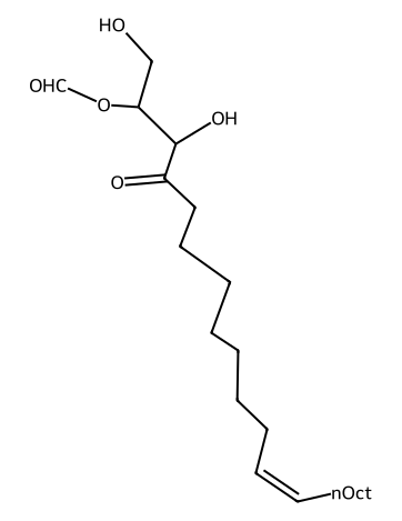 CCCCCCCC/C=C\CCCCCCCC(=O)C(O)C(CO)OC=O